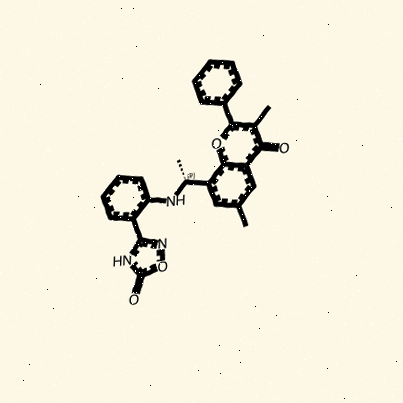 Cc1cc([C@@H](C)Nc2ccccc2-c2noc(=O)[nH]2)c2oc(-c3ccccc3)c(C)c(=O)c2c1